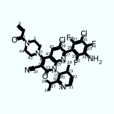 C=CC(=O)N1CCN(c2c(C#N)c(=O)n([C@H]3C(C(C)C)=NC=CC3C)c3nc(-c4c(F)c(N)c(F)c(Cl)c4F)c(Cl)cc23)CC1